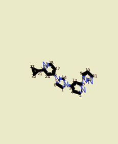 C1=CN(c2ccnc(-n3cccn3)c2)CN1c1ccnc(C2CC2)c1